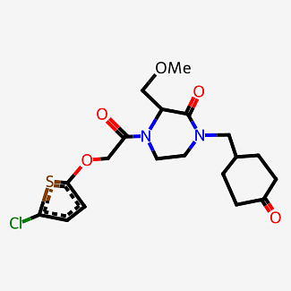 COCC1C(=O)N(CC2CCC(=O)CC2)CCN1C(=O)COc1ccc(Cl)s1